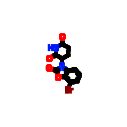 O=C1CCC(n2c(=O)oc3c(Br)cccc32)C(=O)N1